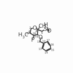 C[C@@H]1CO[C@](C)(C[SiH]=O)C(OCc2ccccc2)[C@H]1F